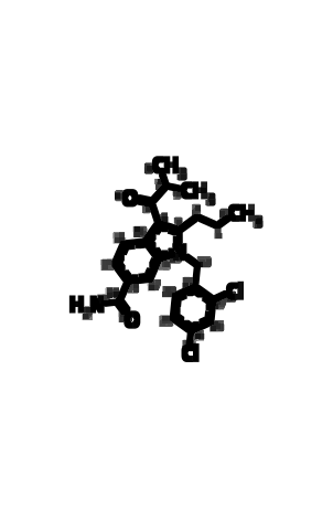 CCCc1c(C(=O)C(C)C)c2ccc(C(N)=O)cc2n1Cc1ccc(Cl)cc1Cl